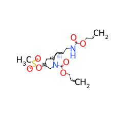 C=CCOC(=O)NC/C=C/[C@@H]1C[C@@H](OS(C)(=O)=O)CN1C(=O)OCC=C